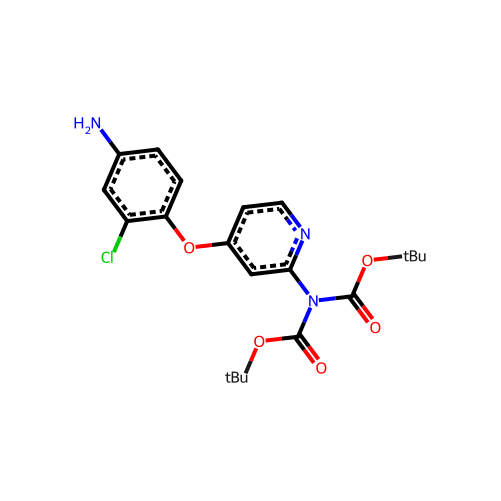 CC(C)(C)OC(=O)N(C(=O)OC(C)(C)C)c1cc(Oc2ccc(N)cc2Cl)ccn1